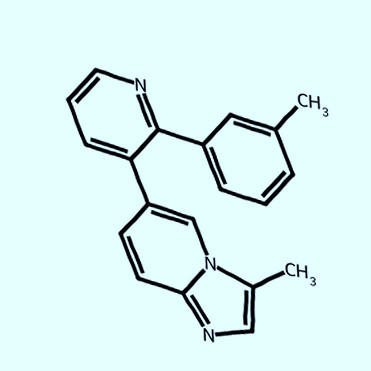 Cc1cccc(-c2ncccc2-c2ccc3ncc(C)n3c2)c1